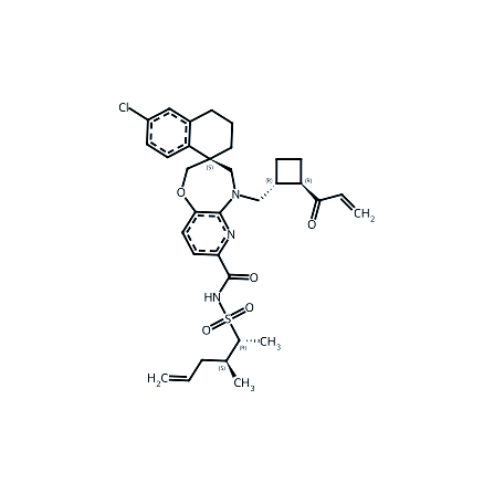 C=CC[C@H](C)[C@@H](C)S(=O)(=O)NC(=O)c1ccc2c(n1)N(C[C@@H]1CC[C@H]1C(=O)C=C)C[C@@]1(CCCc3cc(Cl)ccc31)CO2